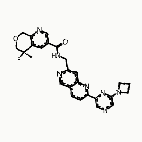 C[C@@]1(F)COCc2ncc(C(=O)NCc3cc4nc(-c5cncc(N6CCC6)n5)ccc4cn3)cc21